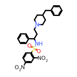 O=[N+]([O-])c1ccc(S(=O)(=O)NC(CCN2CCC(Cc3ccccc3)CC2)c2ccccc2)c([N+](=O)[O-])c1